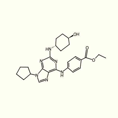 CCOC(=O)c1ccc(Nc2nc(N[C@H]3CC[C@H](O)CC3)nc3c2ncn3C2CCCC2)cc1